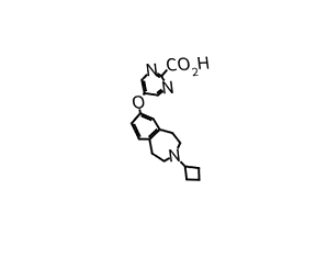 O=C(O)c1ncc(Oc2ccc3c(c2)CCN(C2CCC2)CC3)cn1